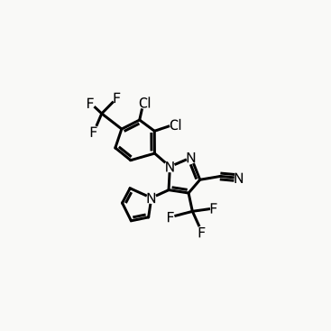 N#Cc1nn(-c2ccc(C(F)(F)F)c(Cl)c2Cl)c(-n2cccc2)c1C(F)(F)F